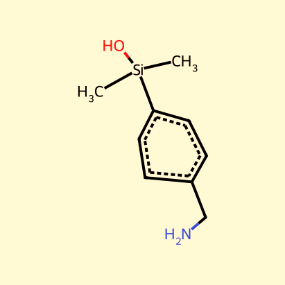 C[Si](C)(O)c1ccc(CN)cc1